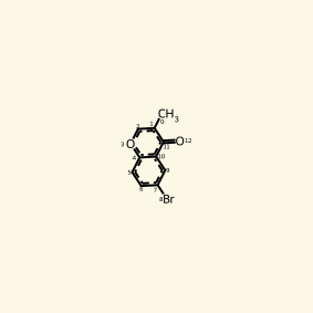 Cc1coc2ccc(Br)cc2c1=O